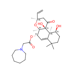 C=C[C@@]1(C)CC(=O)[C@@]2(O)[C@](C)(O1)[C@@H](OC(=O)CN1CCCCCC1)C=C1C(C)(C)CC[C@H](O)[C@@]12C